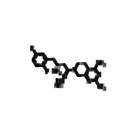 Cl.Cl.Nc1nc(C(F)(F)F)nc2c1CCN(C(=O)C[C@H](N)Cc1cc(F)ccc1F)C2